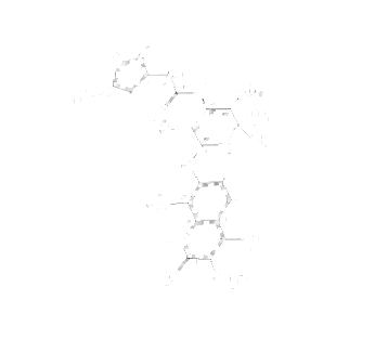 CCOC(=O)c1c(O)c2ccc(O[C@@H]3OC(C)(C)[C@H](OC)[C@H](OC(=O)Nc4cc(C)on4)[C@H]3O)c(C)c2oc1=O